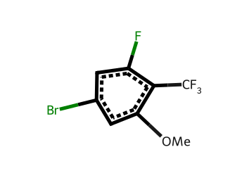 COc1cc(Br)cc(F)c1C(F)(F)F